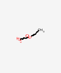 CCCCC#CCOC(=O)CCCCC(=O)O